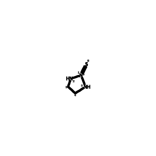 S=[N+]1NCCN1